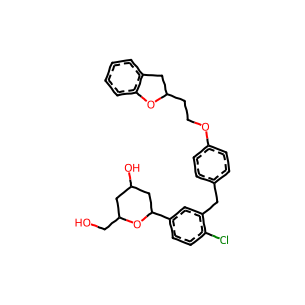 OCC1CC(O)CC(c2ccc(Cl)c(Cc3ccc(OCCC4Cc5ccccc5O4)cc3)c2)O1